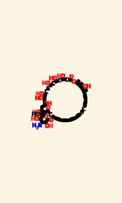 CC1C=CC=CCCC=CC=CC=CC=CC(OC2OC(C)C(O)C(N)C2O)CC2OC(O)(CC(O)C(O)CCC(O)CC(O)CC(O)CC(=O)OC(C)C(C)C1O)CC(O)C2C(=O)O